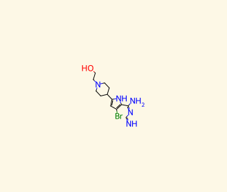 N=C/N=C(/N)c1[nH]c(C2CCN(CCO)CC2)cc1Br